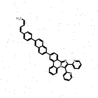 C/C=C\C=C/c1ccc(-c2ccc3cc(-c4ccc5c(c4)c4ccccc4n4c(-c6ccccn6)c(-c6ccccn6)nc54)ccc3c2)cc1